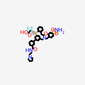 NS(=O)(=O)c1ccc(CN(Cc2cccc(-c3cccc(C(=O)NCCN4CCCC4)c3)c2)C(=O)Cc2ccccc2Br)cc1.O=C(O)C(F)(F)F